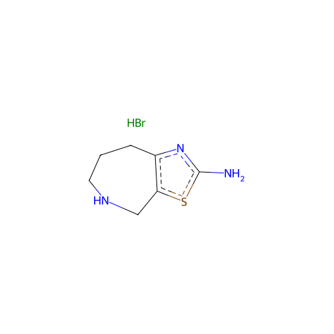 Br.Nc1nc2c(s1)CNCCC2